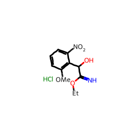 CCOC(=N)C(O)c1c(OC)cccc1[N+](=O)[O-].Cl